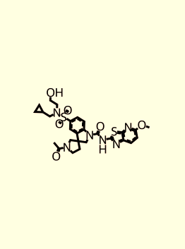 COc1ccc2nc(NC(=O)N3CC4(CCN(C(C)=O)C4)c4cc(S(=O)(=O)N(CCO)CC5CC5)ccc43)sc2n1